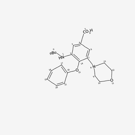 CCCCNc1cc(C(=O)O)cc(N2CCOCC2)c1Oc1ccccc1